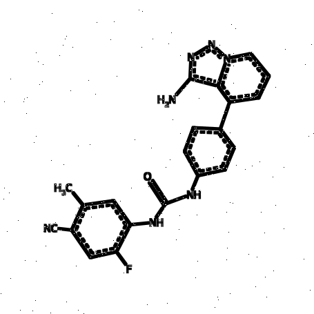 Cc1cc(NC(=O)Nc2ccc(-c3cccn4nnc(N)c34)cc2)c(F)cc1C#N